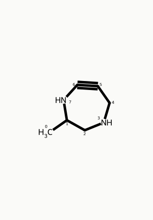 CC1CNCC#CN1